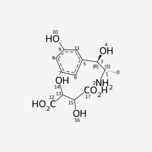 C[C@H](N)[C@H](O)c1cccc(O)c1.O=C(O)C(O)C(O)C(=O)O